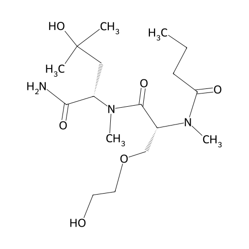 CCCC(=O)N(C)[C@H](COCCO)C(=O)N(C)[C@@H](CC(C)(C)O)C(N)=O